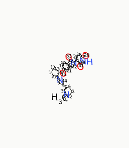 CN1CCCC(C2CN([C@@H]3CCCC[C@H]3Oc3ccc4c(c3)CN(C3CCC(=O)NC3=O)C4=O)C2)C1